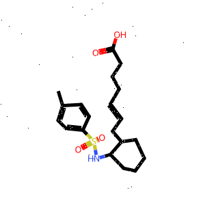 Cc1ccc(S(=O)(=O)NC2CCCCC2CC=CCCCC(=O)O)cc1